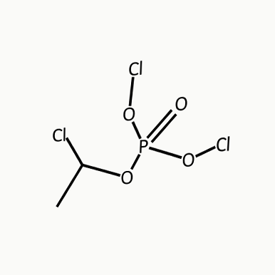 CC(Cl)OP(=O)(OCl)OCl